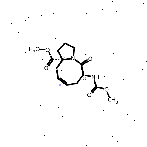 COC(=O)N[C@H]1C/C=C\C[C@@]2(C(=O)OC)CCCN2C1=O